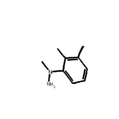 Cc1cccc(N(C)N)c1C